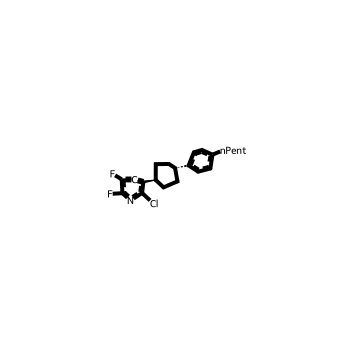 CCCCCc1ccc([C@H]2CC[C@H](c3cc(F)c(F)nc3Cl)CC2)cc1